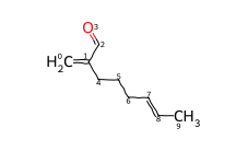 C=C(C=O)CCC/C=C/C